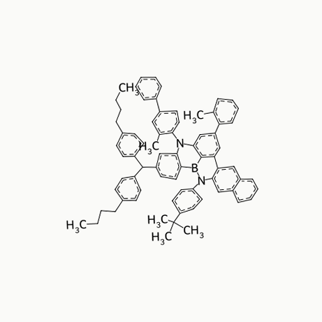 CCCCc1ccc(C(c2ccc(CCCC)cc2)c2ccc3c(c2)N(c2ccc(-c4ccccc4)cc2C)c2cc(-c4ccccc4C)cc4c2B3N(c2ccc(C(C)(C)C)cc2)c2cc3ccccc3cc2-4)cc1